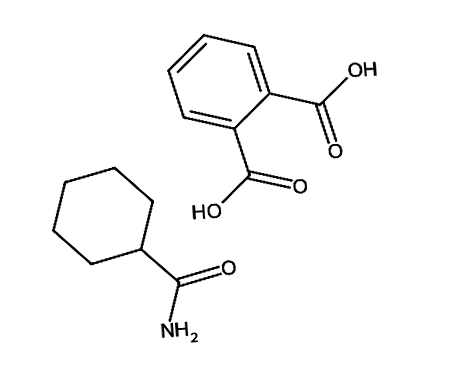 NC(=O)C1CCCCC1.O=C(O)c1ccccc1C(=O)O